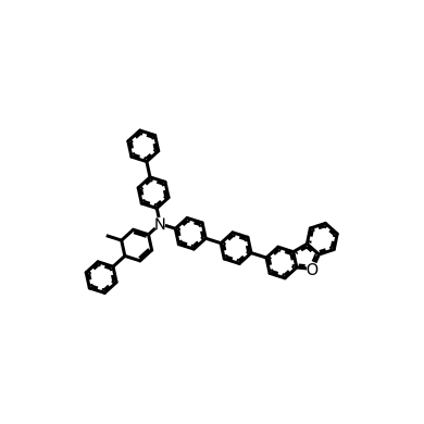 CC1C=C(N(c2ccc(-c3ccccc3)cc2)c2ccc(-c3ccc(-c4ccc5oc6ccccc6c5c4)cc3)cc2)C=CC1c1ccccc1